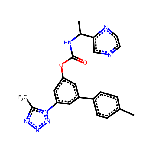 Cc1ccc(-c2cc(OC(=O)NC(C)c3cnccn3)cc(-n3nnnc3C(F)(F)F)c2)cc1